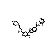 CN1CCN(CCCNc2ncc(Cl)c(-c3cc4ccc(C(=O)Nc5cccnc5)cc4s3)n2)CC1